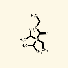 CCOC(=O)[N+](CC)(C(C)C)C(C)C